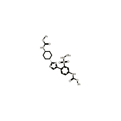 CC(C)OC(=O)Nc1ccc(-c2cnc([C@H]3CC[C@H](NC(=O)OC(C)C)CC3)s2)c(S(=O)(=O)NC(C)(C)C)c1